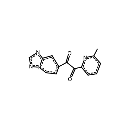 Cc1cccc(C(=O)C(=O)c2ccn3ncnc3c2)n1